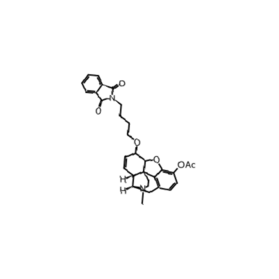 CC(=O)Oc1ccc2c3c1OC1C(OCCCCN4C(=O)c5ccccc5C4=O)C=C[C@H]4[C@@H](C2)N(C)CC[C@]314